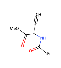 C#C[C@H](NC(=O)C(C)C)C(=O)OC